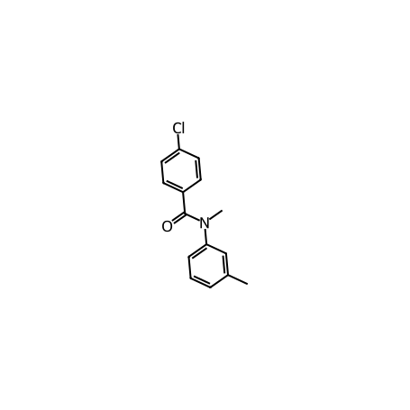 Cc1cccc(N(C)C(=O)c2ccc(Cl)cc2)c1